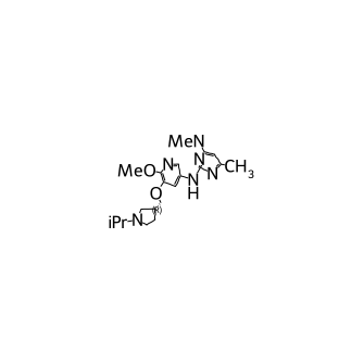 CNc1cc(C)nc(Nc2cnc(OC)c(OC[C@@H]3CCN(C(C)C)C3)c2)n1